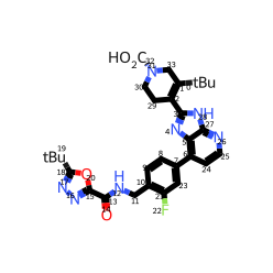 CC(C)(C)C1=C(c2nc3c(-c4ccc(CNC(=O)c5nnc(C(C)(C)C)o5)c(F)c4)ccnc3[nH]2)CCN(C(=O)O)C1